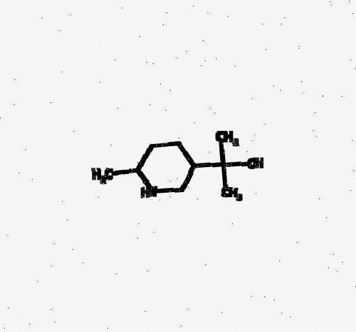 CC1CCC(C(C)(C)O)CN1